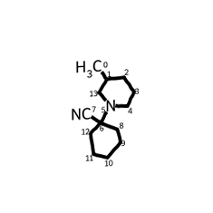 CC1CCCN(C2(C#N)CCCCC2)C1